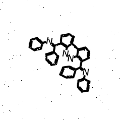 c1ccc(/N=C(\c2ccccc2)c2cccc3c2nnc2c(/C(=N/c4ccccc4)c4ccccc4)cccc23)cc1